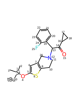 CC(C)(C)[Si](C)(C)Oc1cc2c(s1)CCN(C(C(=O)C1CC1)c1ccccc1F)C2